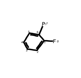 Fc1ccccc1[P]